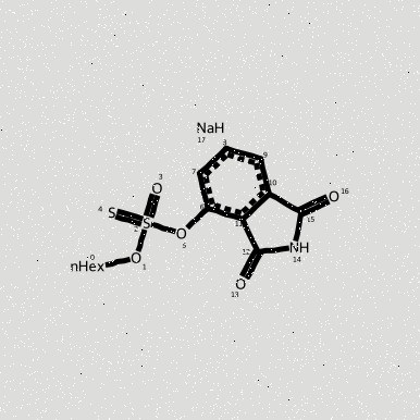 CCCCCCOS(=O)(=S)Oc1cccc2c1C(=O)NC2=O.[NaH]